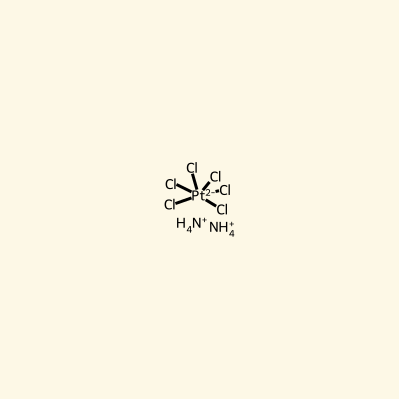 [Cl][Pt-2]([Cl])([Cl])([Cl])([Cl])[Cl].[NH4+].[NH4+]